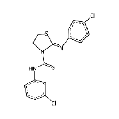 S=C(Nc1cccc(Cl)c1)N1CCSC1=Nc1ccc(Cl)cc1